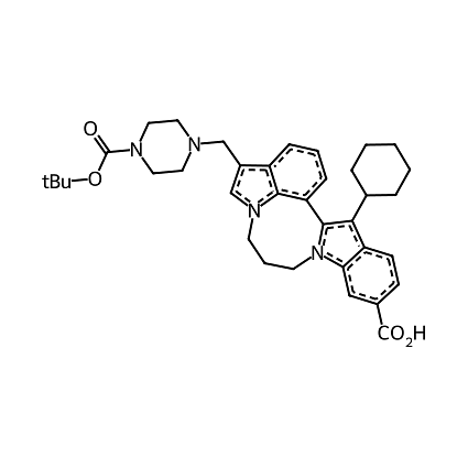 CC(C)(C)OC(=O)N1CCN(Cc2cn3c4c(cccc24)-c2c(C4CCCCC4)c4ccc(C(=O)O)cc4n2CCC3)CC1